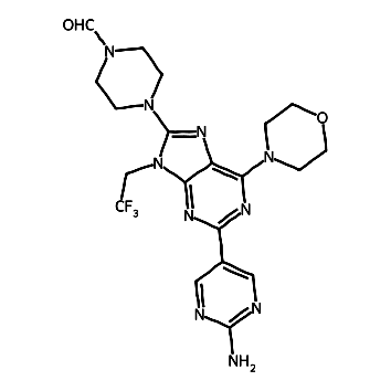 Nc1ncc(-c2nc(N3CCOCC3)c3nc(N4CCN(C=O)CC4)n(CC(F)(F)F)c3n2)cn1